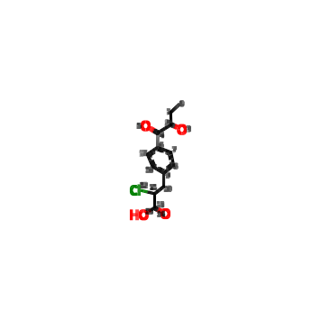 CCC(=O)C(=O)c1ccc(CC(Cl)C(=O)O)cc1